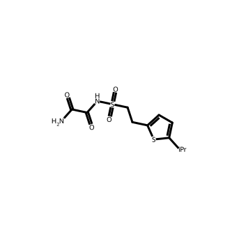 CC(C)c1ccc(CCS(=O)(=O)NC(=O)C(N)=O)s1